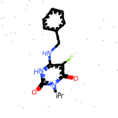 CC(C)n1c(=O)[nH]c(NCc2ccccc2)c(F)c1=O